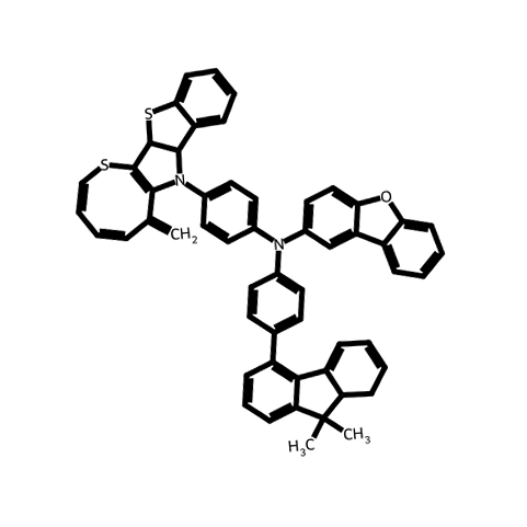 C=C1/C=C\C=C/SC2=C1N(c1ccc(N(c3ccc(-c4cccc5c4C4=CC=CCC4C5(C)C)cc3)c3ccc4oc5ccccc5c4c3)cc1)C1c3ccccc3SC21